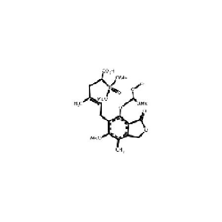 CCOC(OC)Oc1c(C/C=C(\C)CC(C(=O)O)P(=O)(OC)OC)c(OC)c(C)c2c1C(=O)OC2